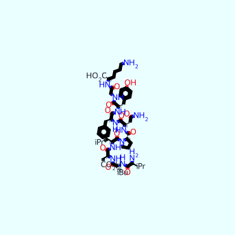 CC[C@H](C)[C@H](NC(=O)[C@@H](N)C(C)C)C(=O)N[C@@H](CC(=O)O)C(=O)N[C@@H](CC(C)C)C(=O)N1CCC[C@H]1C(=O)N[C@@H](CC(N)=O)C(=O)N[C@@H](Cc1ccccc1)C(=O)N[C@@H](Cc1ccc(O)cc1)C(=O)NCC(=O)N[C@@H](CCCCN)C(=O)O